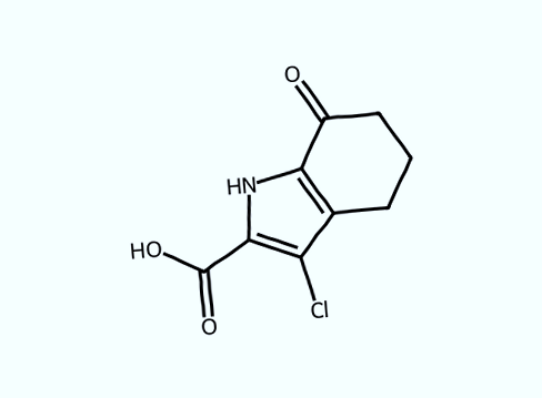 O=C(O)c1[nH]c2c(c1Cl)CCCC2=O